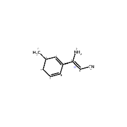 CC1C=C(/C(N)=C/C#N)C=CC1